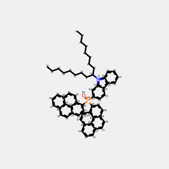 CCCCCCCCC(CCCCCCCC)n1c2ccccc2c2ccc(P(=O)(c3ccc4ccc5cccc6ccc3c4c56)c3ccc4ccc5cccc6ccc3c4c56)cc21